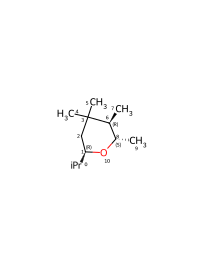 CC(C)[C@H]1CC(C)(C)[C@@H](C)[C@H](C)O1